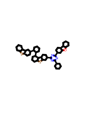 c1ccc(-c2nc(-c3ccc4c(c3)oc3ccccc34)nc(-c3ccc4c(c3)sc3cccc(-c5ccccc5-c5ccc6sc7ccccc7c6c5)c34)n2)cc1